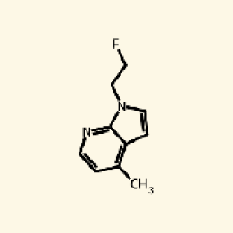 Cc1ccnc2c1ccn2CCF